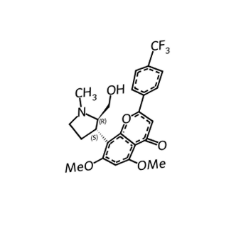 COc1cc(OC)c2c(=O)cc(-c3ccc(C(F)(F)F)cc3)oc2c1[C@@H]1CCN(C)[C@H]1CO